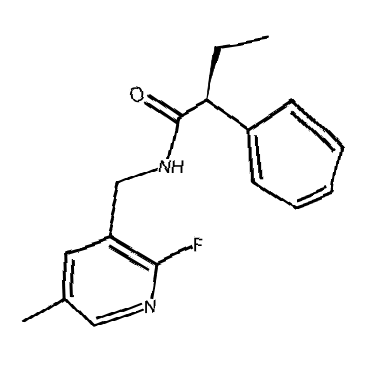 CC[C@H](C(=O)NCc1cc(C)cnc1F)c1ccccc1